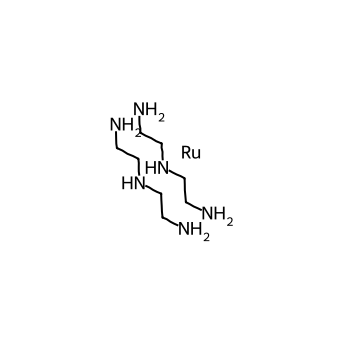 NCCNCCN.NCCNCCN.[Ru]